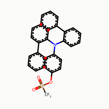 O=S(=O)(Oc1ccc(N(c2ccccc2-c2ccccc2)c2ccccc2-c2ccccc2)cc1)C(F)(F)F